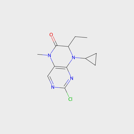 CCC1C(=O)N(C)c2cnc(Cl)nc2N1C1CC1